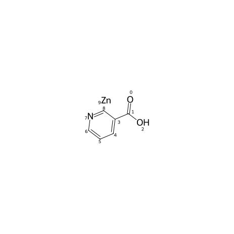 O=C(O)c1cccnc1.[Zn]